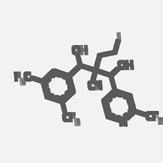 N#CC(CCI)(C(O)c1cc(C(F)(F)F)cc(C(F)(F)F)c1)C(O)c1ccnc(C(F)(F)F)c1